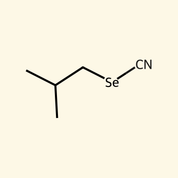 CC(C)C[Se]C#N